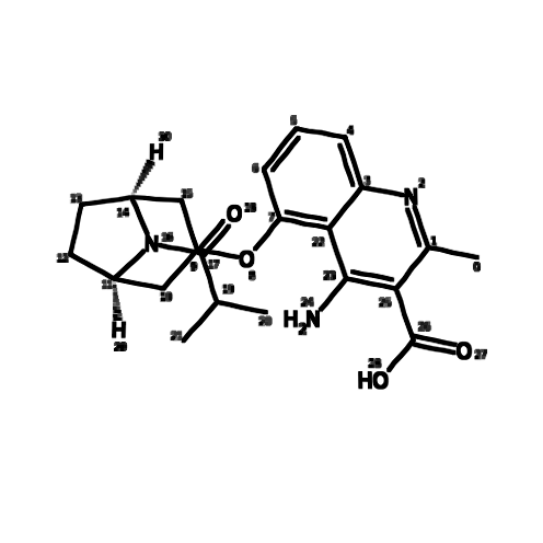 Cc1nc2cccc(OC3C[C@H]4CC[C@@H](C3)N4C(=O)C(C)C)c2c(N)c1C(=O)O